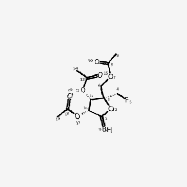 B=C1O[C@](CF)(COC(C)=O)[C@@H](OC(C)=O)[C@H]1OC(C)=O